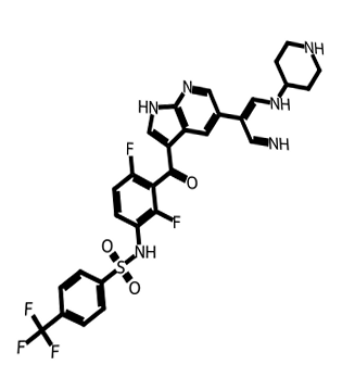 N=C/C(=C\NC1CCNCC1)c1cnc2[nH]cc(C(=O)c3c(F)ccc(NS(=O)(=O)c4ccc(C(F)(F)F)cc4)c3F)c2c1